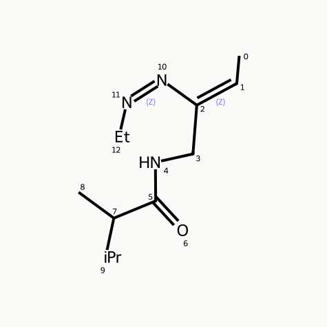 C/C=C(CNC(=O)C(C)C(C)C)\N=N/CC